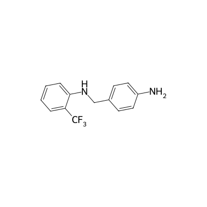 Nc1ccc(CNc2ccccc2C(F)(F)F)cc1